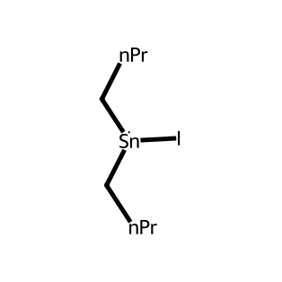 CCC[CH2][Sn]([I])[CH2]CCC